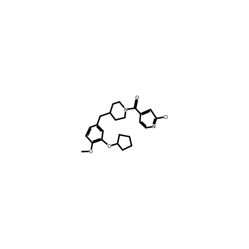 COc1ccc(CC2CCN(C(=O)c3ccnc(Cl)c3)CC2)cc1OC1CCCC1